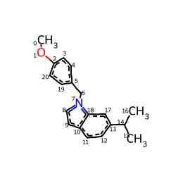 COc1ccc(Cn2ccc3ccc(C(C)C)cc32)cc1